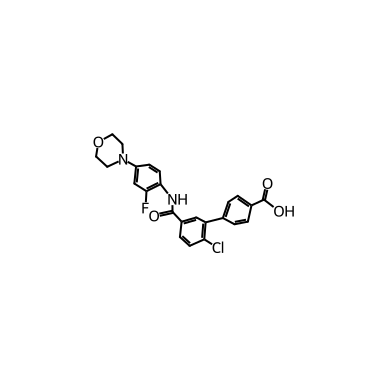 O=C(O)c1ccc(-c2cc(C(=O)Nc3ccc(N4CCOCC4)cc3F)ccc2Cl)cc1